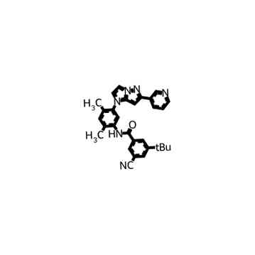 Cc1cc(C)c(-n2ccn3nc(-c4cccnc4)cc23)cc1NC(=O)c1cc(C#N)cc(C(C)(C)C)c1